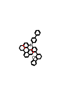 C1=C(c2ccc(N(c3ccc(-c4ccccc4)cc3)c3ccccc3-c3cccc4cccc(C5CCCCC5)c34)cc2)c2oc3ccccc3c2CC1